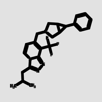 CC(C)Cc1nnc2c(C(F)(F)F)c(CN3CC4C(C3)C4c3ccccc3)ccn12